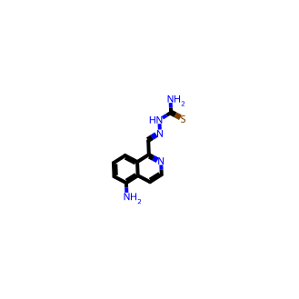 NC(=S)N/N=C/c1nccc2c(N)cccc12